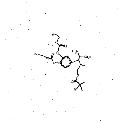 CCC(C)(C)C(=O)OCC(C)C(c1ccc(OC(=O)OCC(C)(C)C)c(OC(=O)OCC(C)(C)C)c1)[C@H](N)C(=O)O